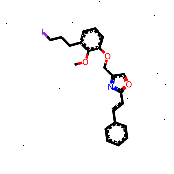 COc1c(CCCI)cccc1OCc1coc(C=Cc2ccccc2)n1